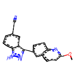 COc1ccc2cc(-c3n[nH]c4ccc(C#N)cc34)ccc2n1